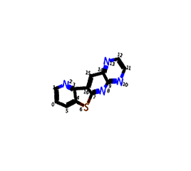 c1cnc2c(c1)sc1nc3nccnc3cc12